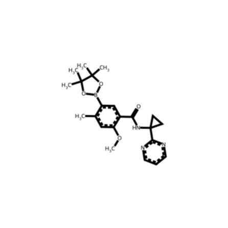 COc1cc(C)c(B2OC(C)(C)C(C)(C)O2)cc1C(=O)NC1(c2ncccn2)CC1